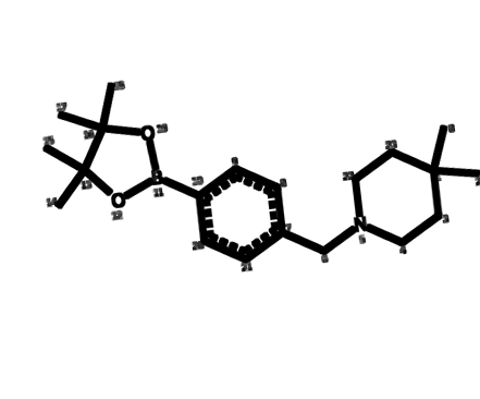 CC1(C)CCN(Cc2ccc(B3OC(C)(C)C(C)(C)O3)cc2)CC1